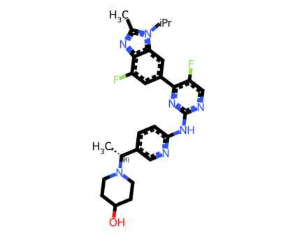 Cc1nc2c(F)cc(-c3nc(Nc4ccc([C@@H](C)N5CCC(O)CC5)cn4)ncc3F)cc2n1C(C)C